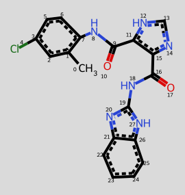 Cc1cc(Cl)ccc1NC(=O)c1[nH]cnc1C(=O)Nc1nc2ccccc2[nH]1